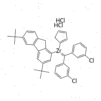 CC(C)(C)c1ccc2c(c1)-c1cc(C(C)(C)C)c[c]([Zr]([C]3=CC=CC3)=[C](c3cccc(Cl)c3)c3cccc(Cl)c3)c1C2.Cl.Cl